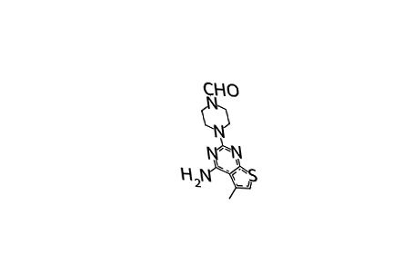 Cc1csc2nc(N3CCN(C=O)CC3)nc(N)c12